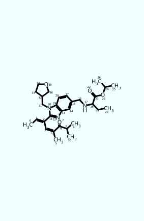 C/C=C(\C=C(\C)C(=O)C(C)C)c1nc2cc(CNC(CC)C(=O)OC(C)C)ccc2n1CC1CCOC1